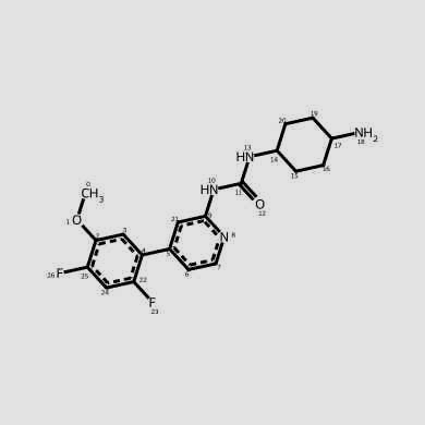 COc1cc(-c2ccnc(NC(=O)NC3CCC(N)CC3)c2)c(F)cc1F